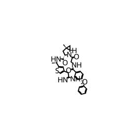 C[C@@H](NC(=O)[C@@H]1C[C@]2(C)C[C@@H]2N1C(=O)CNC(=O)c1ccc(Oc2ccccc2)cc1)c1cc(CC(=N)N)cs1